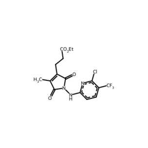 CCOC(=O)CCC1=C(C)C(=O)N(Nc2ccc(C(F)(F)F)c(Cl)n2)C1=O